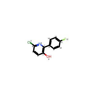 Oc1ccc(Cl)nc1-c1ccc(F)cc1